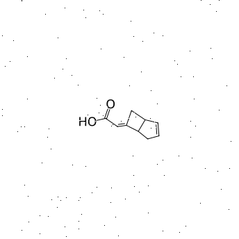 O=C(O)C=C1CC2C=CCC12